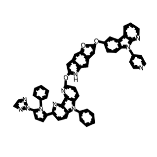 c1ccc(-n2c(-c3ccc4c(n3)c3nc(Oc5cc6cc7oc(Oc8ccc9c(c8)c8cccnc8n9-c8ccncc8)cc7cc6[nH]5)ccc3n4-c3ccccc3)ccc2-n2nccn2)cc1